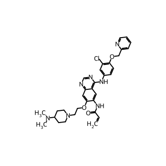 C=CC(=O)Nc1cc2c(Nc3ccc(OCc4ccccn4)c(Cl)c3)ncnc2cc1OCCN1CCC(N(C)C)CC1